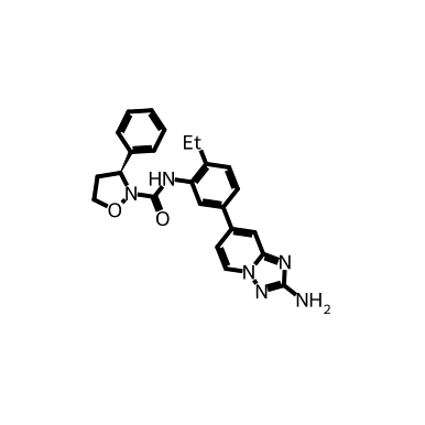 CCc1ccc(-c2ccn3nc(N)nc3c2)cc1NC(=O)N1OCC[C@H]1c1ccccc1